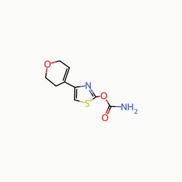 NC(=O)Oc1nc(C2=CCOCC2)cs1